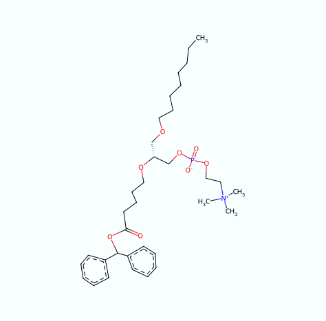 CCCCCCCCOC[C@H](COP(=O)([O-])OCC[N+](C)(C)C)OCCCCC(=O)OC(c1ccccc1)c1ccccc1